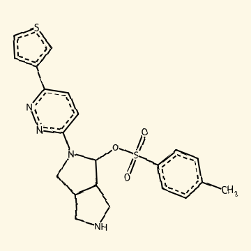 Cc1ccc(S(=O)(=O)OC2C3CNCC3CN2c2ccc(-c3ccsc3)nn2)cc1